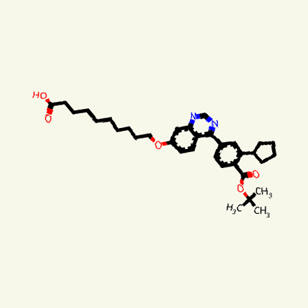 CC(C)(C)OC(=O)c1ccc(-c2ncnc3cc(OCCCCCCCCCC(=O)O)ccc23)cc1C1CCCC1